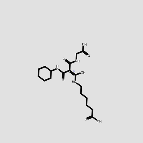 O=C(O)CCCCCN/C(O)=C(/C(=O)NCC(=O)O)C(=O)NC1CCCCC1